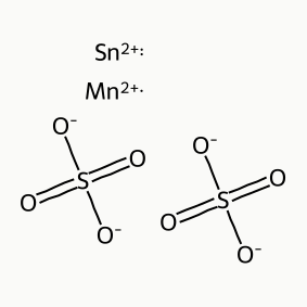 O=S(=O)([O-])[O-].O=S(=O)([O-])[O-].[Mn+2].[Sn+2]